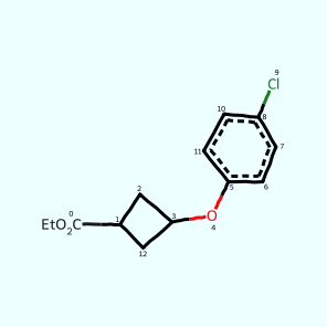 CCOC(=O)C1CC(Oc2ccc(Cl)cc2)C1